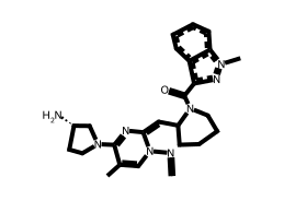 C=NN1C=C(C)C(N2CC[C@H](N)C2)=N/C1=C/C1CCCCN1C(=O)c1nn(C)c2ccccc12